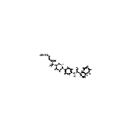 COCCNC(=O)[C@H]1CC[C@H](c2ccc(NC(=O)c3onc4ccccc34)cc2)CC1